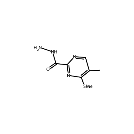 CSc1nc(C(=O)NN)ncc1C